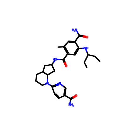 CCC(CC)Nc1cc(C(=O)NC2CC3CCCN(c4ccc(C(N)=O)cn4)C3C2)c(C)cc1C(N)=O